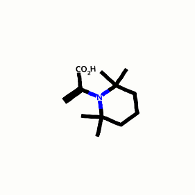 C=C(C(=O)O)N1C(C)(C)CCCC1(C)C